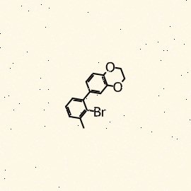 Cc1cccc(-c2ccc3c(c2)OCCO3)c1Br